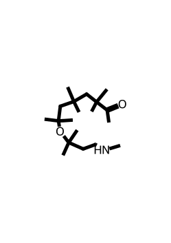 CNCCC(C)(C)OC(C)(C)CC(C)(C)CC(C)(C)C(C)=O